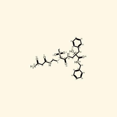 CS(=O)(=O)[C@@H](CCNC(=O)CC(N)=O)C(=O)NC[C@](O)(Cc1ccccc1)C(=O)NCc1ccccc1